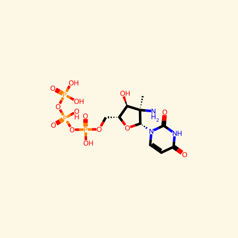 C[C@@]1(N)[C@H](O)[C@@H](COP(=O)(O)OP(=O)(O)OP(=O)(O)O)O[C@H]1n1ccc(=O)[nH]c1=O